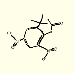 CC(=O)Oc1c([N+](=O)[O-])cc([N+](=O)[O-])cc1C(C)(C)C